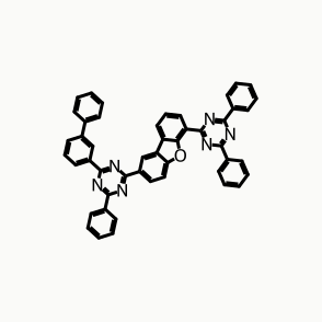 c1ccc(-c2cccc(-c3nc(-c4ccccc4)nc(-c4ccc5oc6c(-c7nc(-c8ccccc8)nc(-c8ccccc8)n7)cccc6c5c4)n3)c2)cc1